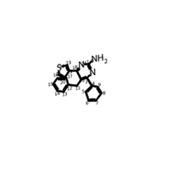 Nc1nc(-c2ccccc2)c(Cc2ccccc2)c(-c2ccsc2)n1